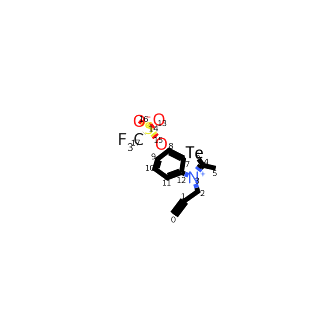 C#CC[n+]1c(C)[te]c2ccccc21.O=S(=O)([O-])C(F)(F)F